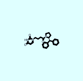 O=C(CCCn1ccc(=O)[nH]c1=O)N1CCC[C@H]1C(c1ccccc1)c1ccccc1